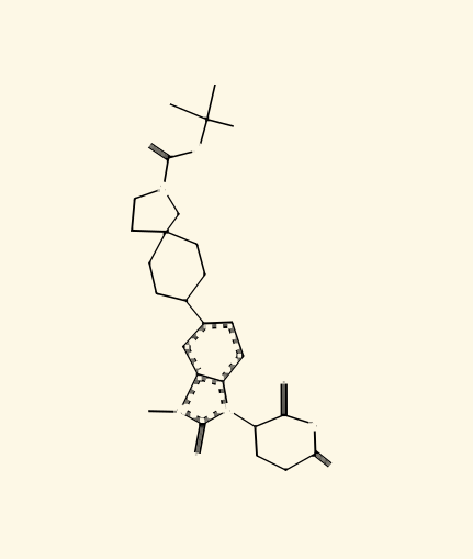 Cn1c(=O)n(C2CCC(=O)NC2=O)c2ccc(C3CCC4(CC3)CCN(C(=O)OC(C)(C)C)C4)cc21